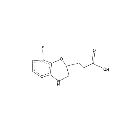 O=C(O)CCC1CNc2cccc(F)c2O1